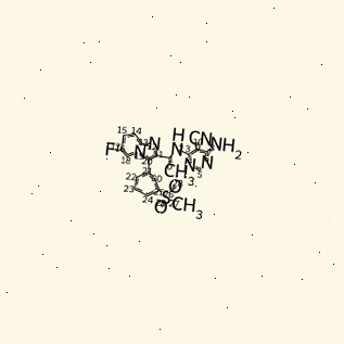 C[C@H](Nc1ncnc(N)c1C#N)c1nc2ccc(F)cn2c1-c1cccc(S(C)(=O)=O)c1